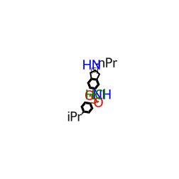 CCCN[C@H]1Cc2ccc(NS(=O)(=O)c3ccc(C(C)C)cc3)cc2C1.Cl